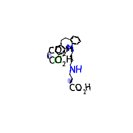 O=C(O)/C=C/CNCCCCN1c2ccccc2CCc2ccc(Cl)cc21.O=C(O)/C=C\C(=O)O